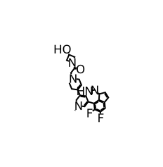 CN1C=C2C(=C(C3=CCN(CC(=O)N4CC(O)C4)CC3)C1)NN=C1C=Cc3cc(F)c(F)c2c31